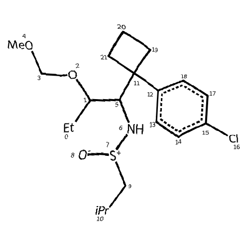 CCC(OCOC)C(N[S+]([O-])CC(C)C)C1(c2ccc(Cl)cc2)CCC1